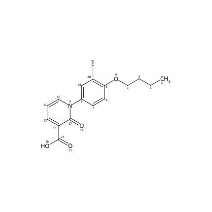 CCCCOc1ccc(-n2cccc(C(=O)O)c2=O)cc1F